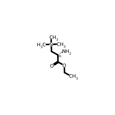 CCOC(=O)[C@@H](N)C[Si](C)(C)C